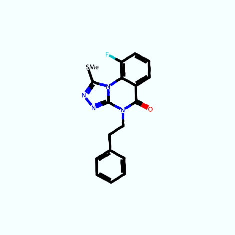 CSc1nnc2n(CCc3ccccc3)c(=O)c3cccc(F)c3n12